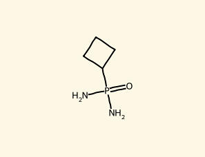 NP(N)(=O)C1CCC1